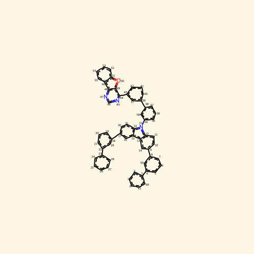 c1ccc(-c2cccc(-c3ccc4c(c3)c3cc(-c5cccc(-c6ccccc6)c5)ccc3n4-c3cccc(-c4cccc(-c5ncnc6c5oc5ccccc56)c4)c3)c2)cc1